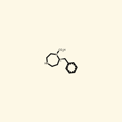 O=C(O)N1CCNCC[C@@H]1Cc1ccccc1